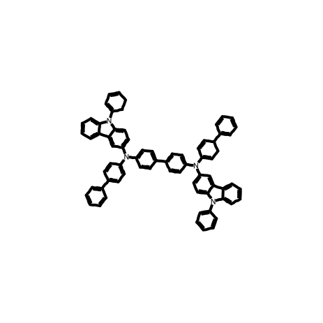 C1=CCCC(n2c3ccccc3c3cc(N(c4ccc(-c5ccccc5)cc4)c4ccc(-c5ccc(N(C6=CCC(c7ccccc7)C=C6)c6ccc7c(c6)c6ccccc6n7-c6ccccc6)cc5)cc4)ccc32)=C1